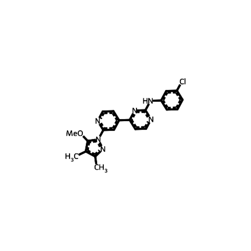 COc1c(C)c(C)nn1-c1cc(-c2ccnc(Nc3cccc(Cl)c3)n2)ccn1